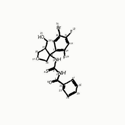 O=C(NC(=S)NC1(c2cc(Br)c(F)cc2F)COCC1CO)c1ccccc1